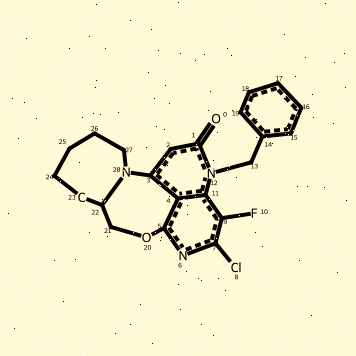 O=c1cc2c3c(nc(Cl)c(F)c3n1Cc1ccccc1)OCC1CCCCCN21